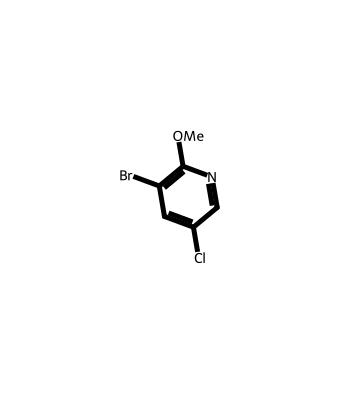 COc1ncc(Cl)cc1Br